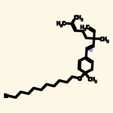 C=CC(C)(/C=C/C1=CCC(C)(OCCCCCCCCCCBr)C=C1)CCC=C(C)C